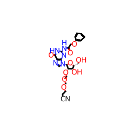 N#CCCOCOCO[C@H]1C(O)[C@@H](CO)O[C@H]1n1cnc2c(=O)[nH]c(NC(=O)COc3ccccc3)nc21